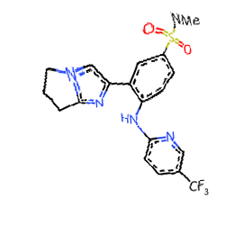 CNS(=O)(=O)c1ccc(Nc2ccc(C(F)(F)F)cn2)c(-c2cn3c(n2)CCC3)c1